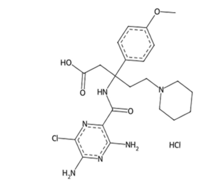 COc1ccc(C(CCN2CCCCC2)(CC(=O)O)NC(=O)c2nc(Cl)c(N)nc2N)cc1.Cl